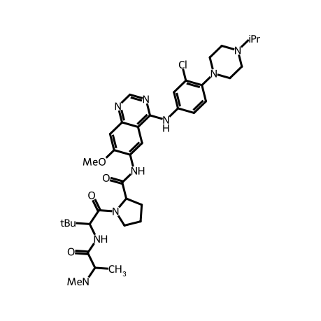 CNC(C)C(=O)NC(C(=O)N1CCCC1C(=O)Nc1cc2c(Nc3ccc(N4CCN(C(C)C)CC4)c(Cl)c3)ncnc2cc1OC)C(C)(C)C